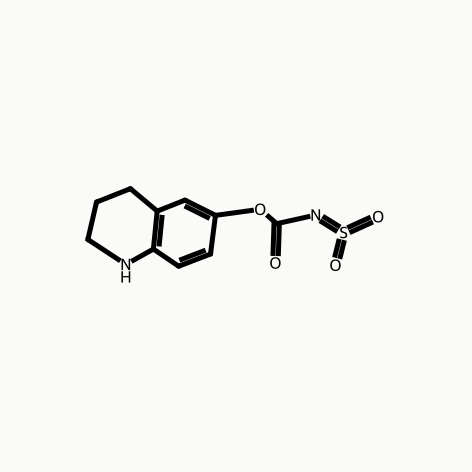 O=C(N=S(=O)=O)Oc1ccc2c(c1)CCCN2